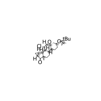 CC(C)(C)[Si](C)(C)O[C@H]1CC[C@]2(C)[C@H]3CC[C@]4(C)C(=O)[C@H]5C[C@H]5[C@H]4[C@@H]3[C@H](Cl)[C@H]3O[C@]32C1